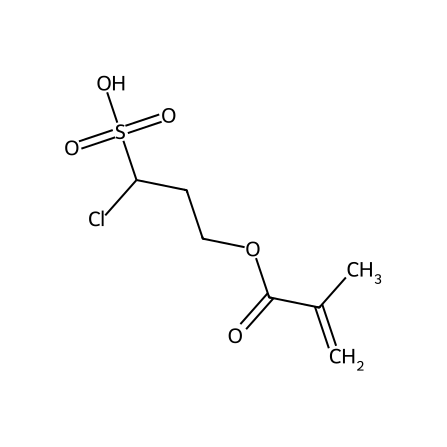 C=C(C)C(=O)OCCC(Cl)S(=O)(=O)O